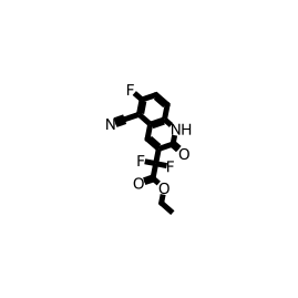 CCOC(=O)C(F)(F)c1cc2c(C#N)c(F)ccc2[nH]c1=O